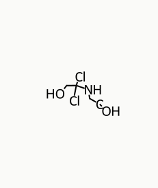 OCCNC(Cl)(Cl)CO